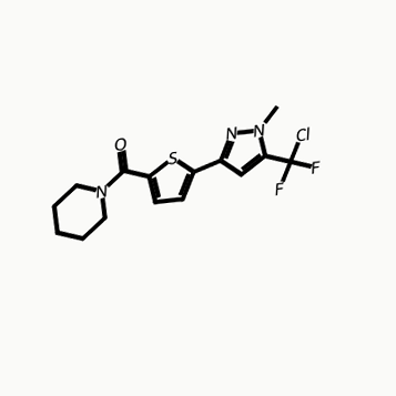 Cn1nc(-c2ccc(C(=O)N3CCCCC3)s2)cc1C(F)(F)Cl